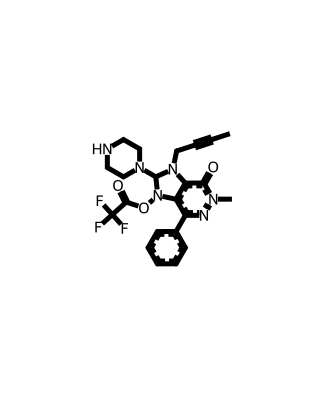 CC#CCN1c2c(c(-c3ccccc3)nn(C)c2=O)N(OC(=O)C(F)(F)F)C1N1CCNCC1